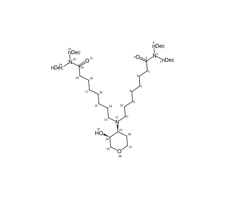 CCCCCCCCCCN(CCCCCCCCCC)C(=O)CCCCCCCN(CCCCCCCC(=O)N(CCCCCCCCCC)CCCCCCCCCC)[C@H]1CCOC[C@H]1O